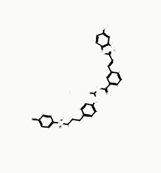 CCOC(=O)C(NC(=O)c1cccc(C=Cc2nc3cc(Cl)ccc3s2)c1)Oc1ccc(CCCS(=O)(=O)c2ccc(Cl)cc2)cc1